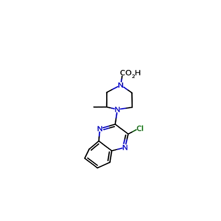 CC1CN(C(=O)O)CCN1c1nc2ccccc2nc1Cl